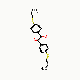 CCCSc1ccc(C(=O)C(=O)c2ccc(SCCC)cc2)cc1